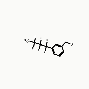 [O]Cc1cccc(C(F)(F)C(F)(F)C(F)(F)C(F)(F)F)c1